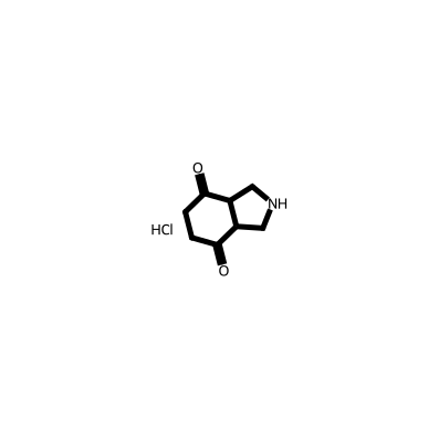 Cl.O=C1CCC(=O)C2CNCC12